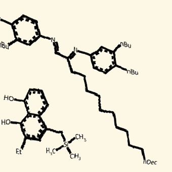 CCCCCCCCCCCCCCCCCCCCC(C=Nc1ccc(CCCC)c(CCCC)c1)=Nc1ccc(CCCC)c(CCCC)c1.CCc1cc(C[Si](C)(C)C)c2cccc(O)c2c1O